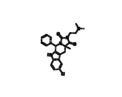 CN(C)CCN1C(=O)N2C(c3ccccc3)c3[nH]c4ccc(Cl)cc4c3CC2(C)C1=O